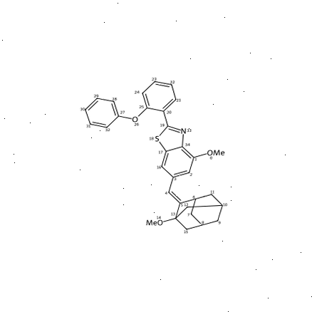 COc1cc(C=C2C3CC4CC(C3)CC2(OC)C4)cc2sc(-c3ccccc3Oc3ccccc3)nc12